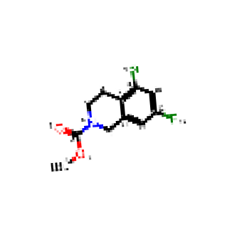 CC(C)(C)OC(=O)N1CCc2c(Br)cc(F)cc2C1